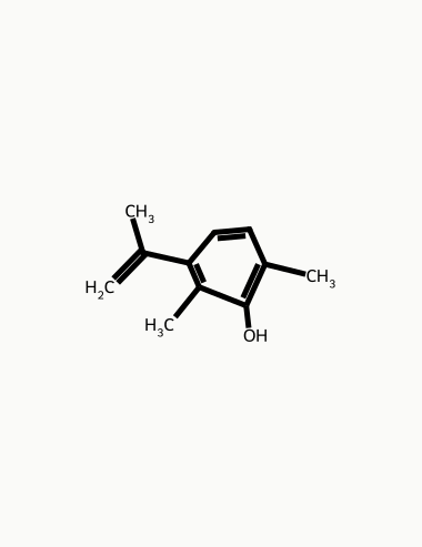 C=C(C)c1ccc(C)c(O)c1C